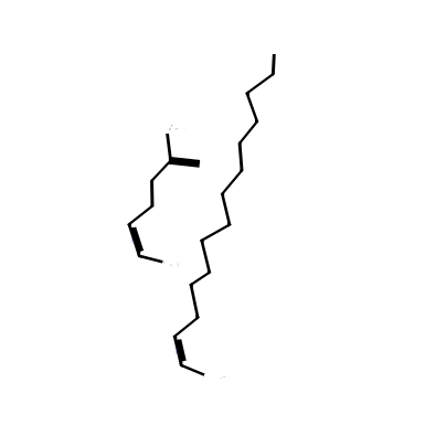 CCCC/C=C\CCC(=O)CCCCCCCCC.CCCCCC/C=C\CCCCCCCCCCCC(=O)O